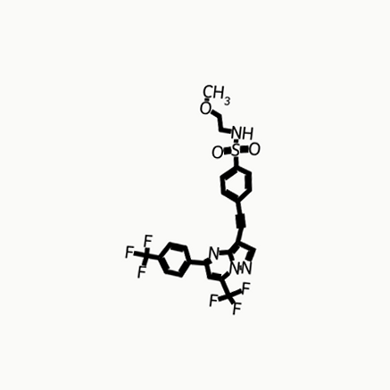 COCCNS(=O)(=O)c1ccc(C#Cc2cnn3c(C(F)(F)F)cc(-c4ccc(C(F)(F)F)cc4)nc23)cc1